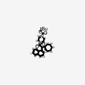 CC(C)(C)OC(=O)N1CCN(C(=O)C(c2cccc3ccccc23)C2(O)CCCCCC2)CC1